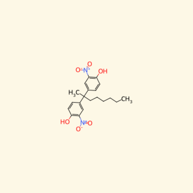 CCCCCCC(C)(c1ccc(O)c([N+](=O)[O-])c1)c1ccc(O)c([N+](=O)[O-])c1